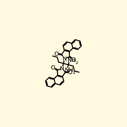 CCCC(N)(N)C(CCC)(N1C(=O)c2ccc3ccccc3c2C1=O)N1C(=O)c2ccc3ccccc3c2C1=O